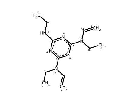 C=CN(CC)c1nc(NCC)nc(N(C=C)CC)n1